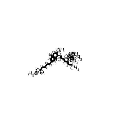 CCCCCC(C=C[C@H]1[C@@H]2CC(CCCCC(=O)OC)=C[C@@H]2C[C@@H]1O)O[Si](C)(C)C(C)(C)C